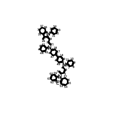 C=C(/C=C\CN(c1ccccc1)c1ccc(C2=CC=C(N(/C=C/C=c3\c(=C)c4c(n3-c3ccccc3)CCCC4)c3ccccc3)CC2)cc1)N(C1=CC=CCCC1)c1ccccc1CC